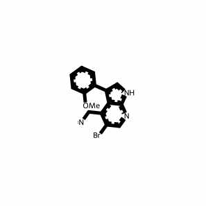 COc1ccccc1-c1c[nH]c2ncc(Br)c(C[N])c12